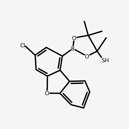 CC1(C)OB(c2cc(Cl)cc3oc4ccccc4c23)OC1(C)S